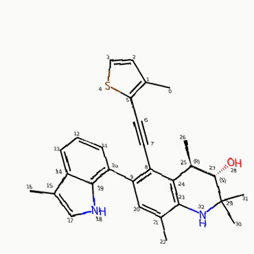 Cc1ccsc1C#Cc1c(-c2cccc3c(C)c[nH]c23)cc(C)c2c1[C@@H](C)[C@H](O)C(C)(C)N2